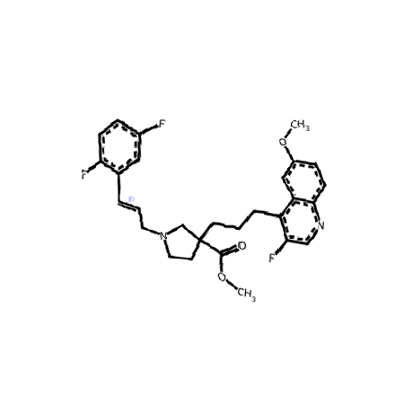 COC(=O)C1(CCCc2c(F)cnc3ccc(OC)cc23)CCN(C/C=C/c2cc(F)ccc2F)C1